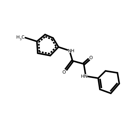 Cc1ccc(NC(=O)C(=O)NC2=CC=CCC2)cc1